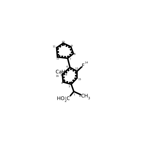 CC(C(=O)O)c1ccc(-c2ccccc2)c(F)c1.[CaH2]